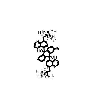 CC(C)(Cc1ccc(C2(O)c3ccccc3C(O)(c3ccc(CC(C)(C)[Si](C)(C)O)c4ncccc34)c3cc(Br)ccc32)c2cccnc12)[Si](C)(C)O